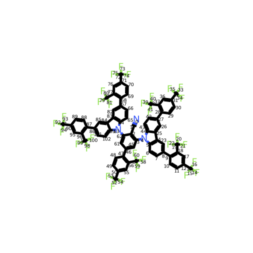 N#Cc1c(-n2c3ccc(-c4ccc(C(F)(F)F)cc4C(F)(F)F)cc3c3cc(-c4ccc(C(F)(F)F)cc4C(F)(F)F)ccc32)cc(-c2ccc(C(F)(F)F)cc2C(F)(F)F)cc1-n1c2ccc(-c3ccc(C(F)(F)F)cc3C(F)(F)F)cc2c2cc(-c3ccc(C(F)(F)F)cc3C(F)(F)F)ccc21